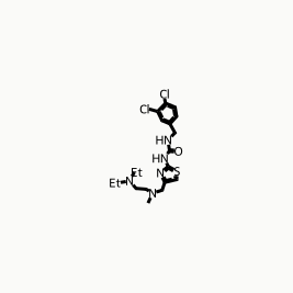 CCN(CC)CCN(C)Cc1csc(NC(=O)NCc2ccc(Cl)c(Cl)c2)n1